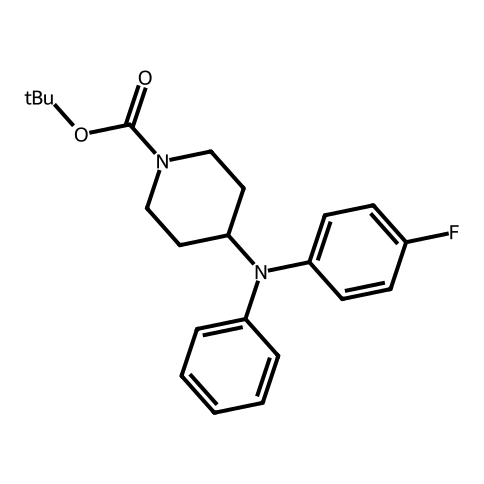 CC(C)(C)OC(=O)N1CCC(N(c2ccccc2)c2ccc(F)cc2)CC1